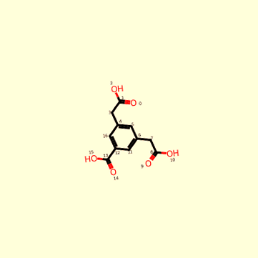 O=C(O)Cc1cc(CC(=O)O)cc(C(=O)O)c1